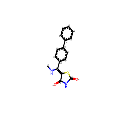 CN/C(=C1/SC(=O)NC1=O)c1ccc(-c2ccccc2)cc1